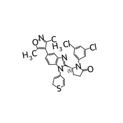 Cc1noc(C)c1-c1ccc2c(c1)nc([C@@H]1CCC(=O)N1c1cc(Cl)cc(Cl)c1)n2C1=CCSC=C1